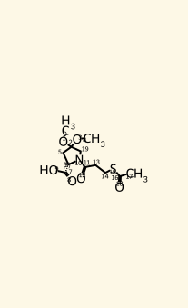 COC1(OC)C[C@@H](C(=O)O)N(C(=O)CCSC(C)=O)C1